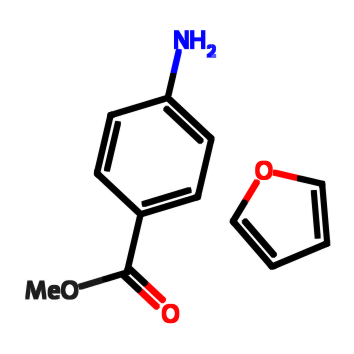 COC(=O)c1ccc(N)cc1.c1ccoc1